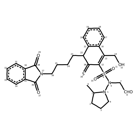 CC1CCCN1N(CC=O)S(=O)(=O)C1=C(CO)c2ccccc2C(CCCCN2C(=O)c3ccccc3C2=O)C1=S